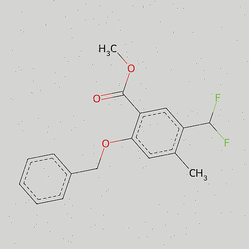 COC(=O)c1cc(C(F)F)c(C)cc1OCc1ccccc1